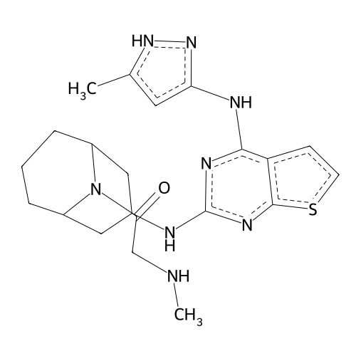 CNCC(=O)N1C2CCCC1CC(Nc1nc(Nc3cc(C)[nH]n3)c3ccsc3n1)C2